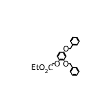 CCOC(=O)COc1ccc(OCc2ccccc2)cc1OCc1ccccc1